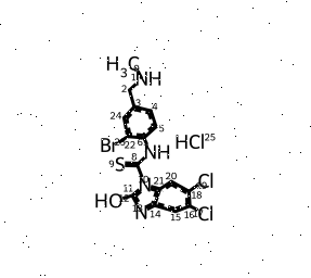 CNCc1ccc(NC(=S)n2c(O)nc3cc(Cl)c(Cl)cc32)c(Br)c1.Cl